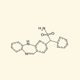 NS(=O)(=O)C(c1ccccc1)c1ccc2c(c1)Nc1ccccc1N=C2